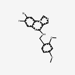 COc1ccc(CNc2nc3cc(F)c(Br)cc3n3cncc23)c(OC)c1